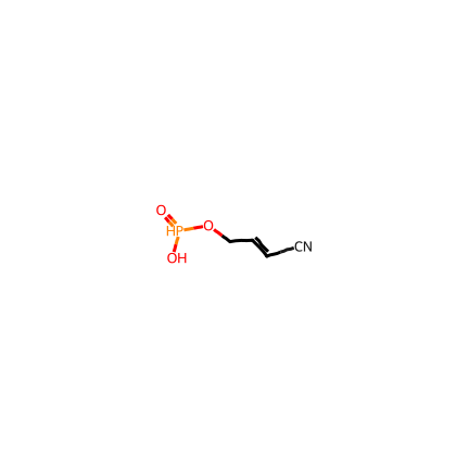 N#CC=CCO[PH](=O)O